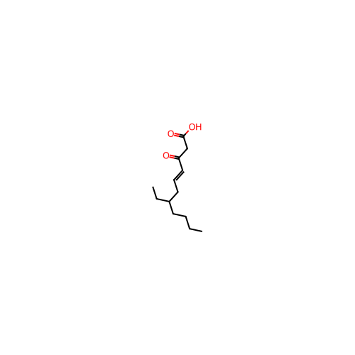 CCCCC(CC)CC=CC(=O)CC(=O)O